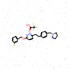 Fc1cccc(COc2ccc(CCc3ccc(CN4CCCC4)cc3)nn2)c1.O=C(O)C(F)(F)F